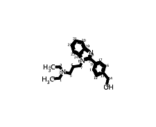 CCN(CC)CCCn1c(-c2ccc(CO)cc2)nc2ccccc21